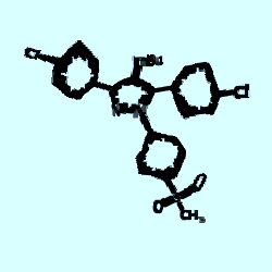 CCCCc1c(-c2ccc(Cl)cc2)nn(-c2ccc(S(C)(=O)=O)cc2)c1-c1ccc(Cl)cc1